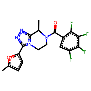 Cc1ccc(-c2nnc3n2CCN(C(=O)c2cc(F)c(F)c(F)c2F)C3C)o1